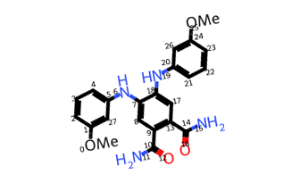 COc1cccc(Nc2cc(C(N)=O)c(C(N)=O)cc2Nc2cccc(OC)c2)c1